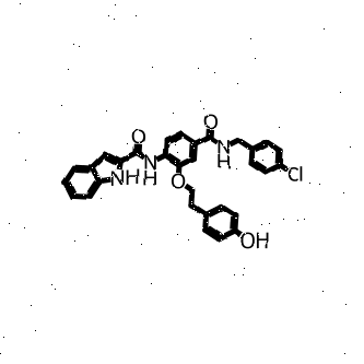 O=C(NCc1ccc(Cl)cc1)c1ccc(NC(=O)c2cc3ccccc3[nH]2)c(OCCc2ccc(O)cc2)c1